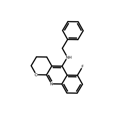 Fc1cccc2nc3c(c(NCc4ccccc4)c12)CCCO3